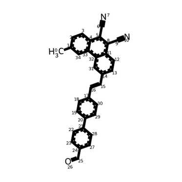 Cc1ccc2c(C#N)c(C#N)c3ccc(C=Cc4ccc(-c5ccc(C=O)cc5)cc4)cc3c2c1